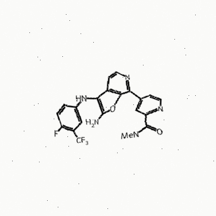 CNC(=O)c1cc(-c2nccc3c(Nc4ccc(F)c(C(F)(F)F)c4)c(N)oc23)ccn1